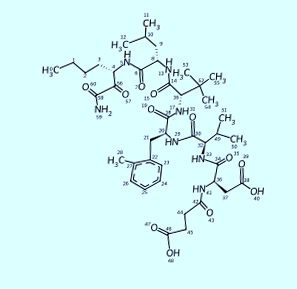 CCCC[C@H](NC(=O)[C@H](CC(C)C)NC(=O)[C@@H](NC(=O)[C@H](Cc1ccccc1C)NC(=O)[C@H](NC(=O)[C@@H](CC(=O)O)NC(=O)CCC(=O)O)C(C)C)C(C)(C)C)C(=O)C(N)=O